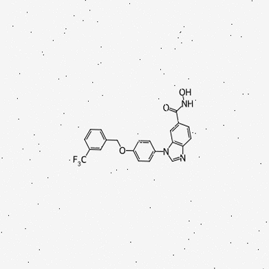 O=C(NO)c1ccc2ncn(-c3ccc(OCc4cccc(C(F)(F)F)c4)cc3)c2c1